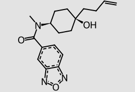 C=CCC[C@]1(O)CC[C@@H](N(C)C(=O)c2ccc3nonc3c2)CC1